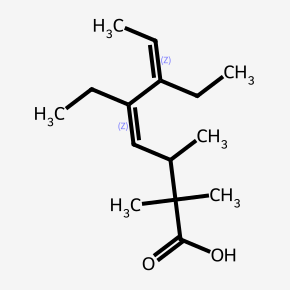 C/C=C(CC)\C(=C/C(C)C(C)(C)C(=O)O)CC